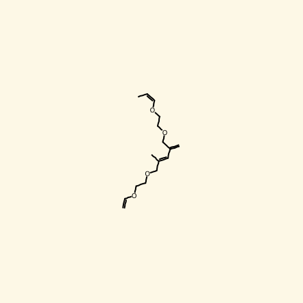 C=COCCOC/C(C)=C/C(=C)COCCO/C=C\C